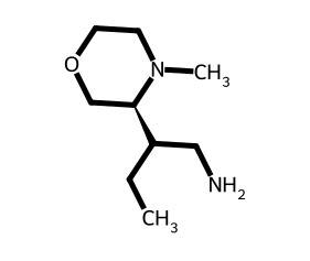 CCC(CN)[C@H]1COCCN1C